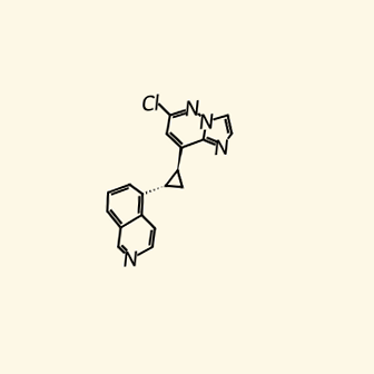 Clc1cc([C@H]2C[C@@H]2c2cccc3cnccc23)c2nccn2n1